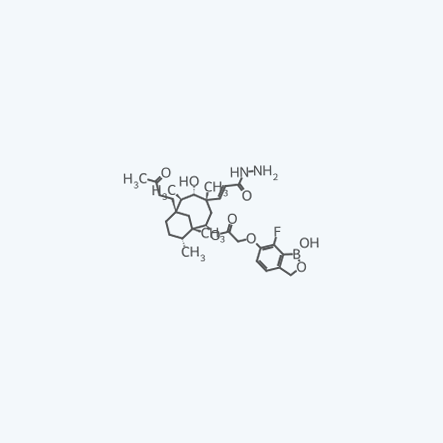 CC(=O)CC[C@]12CC[C@@H](C)[C@](C)(C1)[C@H](OC(=O)COc1ccc3c(c1F)B(O)OC3)C[C@@](C)(/C=C/C(=O)NN)[C@@H](O)[C@@H]2C